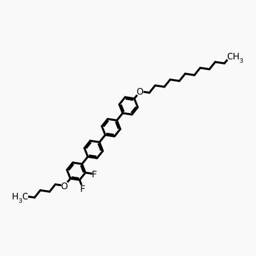 CCCCCCCCCCCCOc1ccc(-c2ccc(-c3ccc(-c4ccc(OCCCCC)c(F)c4F)cc3)cc2)cc1